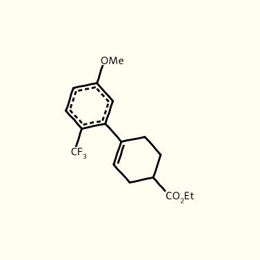 CCOC(=O)C1CC=C(c2cc(OC)ccc2C(F)(F)F)CC1